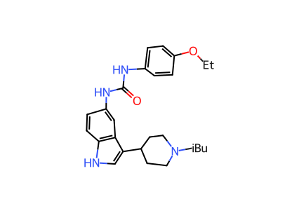 CCOc1ccc(NC(=O)Nc2ccc3[nH]cc(C4CCN(C(C)CC)CC4)c3c2)cc1